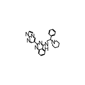 c1ccc(C(CNc2nc(-c3cnc4nccn4c3)nc3ccccc23)N2CCCCC2)cc1